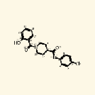 O=C(Nc1ccc(Cl)cc1)C1CCN(C(=O)c2ccccc2O)CC1